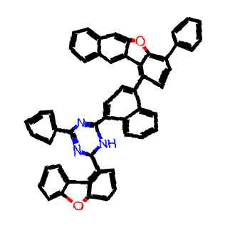 c1ccc(C2=NC(c3cccc4oc5ccccc5c34)NC(c3ccc(-c4ccc(-c5ccccc5)c5oc6cc7ccccc7cc6c45)c4ccccc34)=N2)cc1